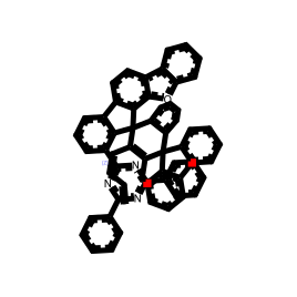 C=C/C=C\C1=C(C)C2(c3ccccc3-c3ccccc32)c2ccccc2C12c1c(-c3nc(-c4ccccc4)nc(-c4ccccc4)n3)cccc1-c1ccc3c(oc4ccccc43)c12